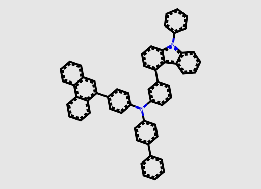 c1ccc(-c2ccc(N(c3ccc(-c4cc5ccccc5c5ccccc45)cc3)c3cccc(-c4cccc5c4c4ccccc4n5-c4ccccc4)c3)cc2)cc1